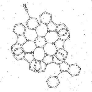 N#Cc1ccc(-c2c(-n3c4ccccc4c4ccccc43)c(-n3c4ccccc4c4ccccc43)c(-n3c4ccccc4c4c3ccc3c5ccccc5n(-c5ccccc5)c34)c(-n3c4ccccc4c4ccccc43)c2-n2c3ccccc3c3ccccc32)nc1